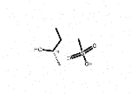 CC[C@H](C)O.CS(=O)(=O)O